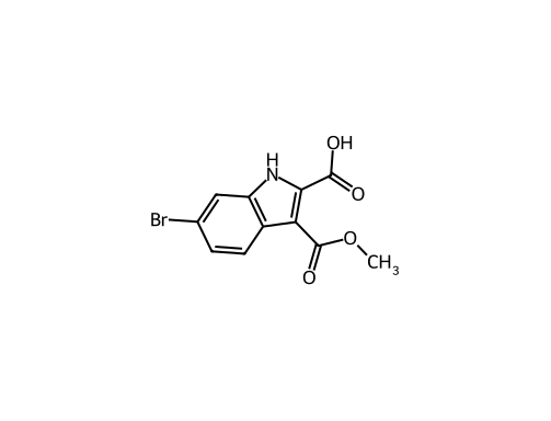 COC(=O)c1c(C(=O)O)[nH]c2cc(Br)ccc12